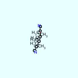 CCC(C)(c1ccc(-c2cccnc2)cc1)c1ccc2c(c1)C(C)(C)c1cc(C(C)(CC)c3ccc(-c4cccnc4)cc3)ccc1-2